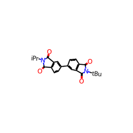 CC(C)N1C(=O)c2ccc(-c3ccc4c(c3)C(=O)N(C(C)(C)C)C4=O)cc2C1=O